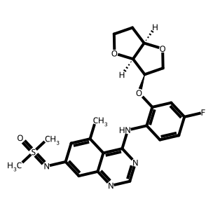 Cc1cc(N=S(C)(C)=O)cc2ncnc(Nc3ccc(F)cc3O[C@@H]3CO[C@@H]4CCO[C@@H]43)c12